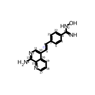 N=C(NO)c1ccc(/C=C/c2cnc(N)c3ncccc23)cc1